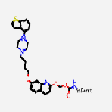 CCCCCNC(=O)OCOc1ccc2ccc(OCCCCN3CCN(c4cccc5sccc45)CC3)cc2n1